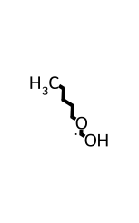 CCCCCO[CH]O